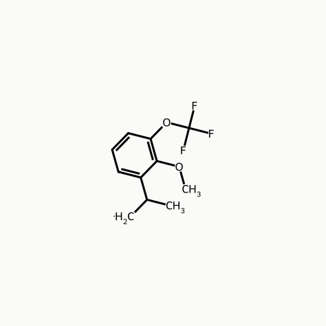 [CH2]C(C)c1cccc(OC(F)(F)F)c1OC